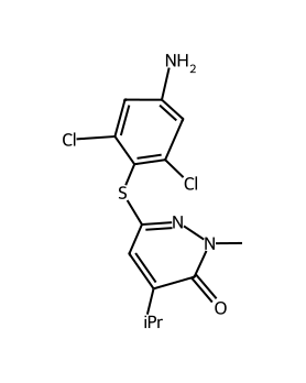 CC(C)c1cc(Sc2c(Cl)cc(N)cc2Cl)nn(C)c1=O